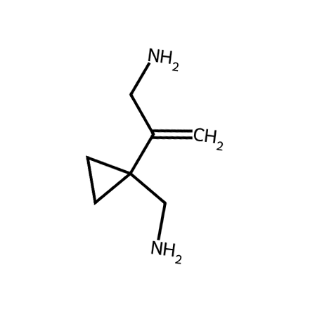 C=C(CN)C1(CN)CC1